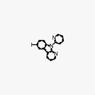 Ic1ccc2c(c1)c1cccnc1n2-c1ccccn1